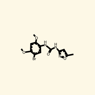 COc1cc(OC)c(NC(=O)Nc2cc(C)on2)cc1Br